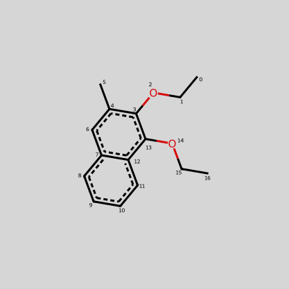 CCOc1c(C)cc2ccccc2c1OCC